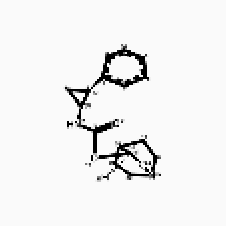 O=C(N[C@H]1C[C@H]1c1ccccc1)O[C@@H]1CN2CCC1CC2